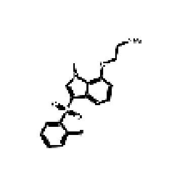 CNCCOc1cccc2c(S(=O)(=O)c3ccccc3F)cn(C)c12